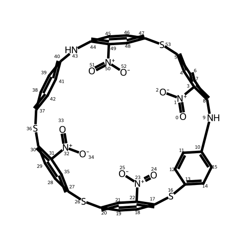 O=[N+]([O-])c1cc2ccc1Nc1ccc(cc1)Sc1ccc(cc1[N+](=O)[O-])Sc1ccc(c([N+](=O)[O-])c1)Sc1ccc(cc1)Nc1ccc(cc1[N+](=O)[O-])S2